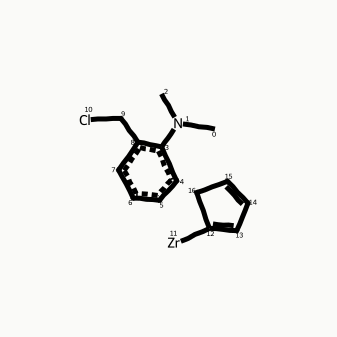 CN(C)c1ccccc1CCl.[Zr][C]1=CC=CC1